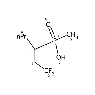 CCCC(CC(F)(F)F)P(C)(=O)O